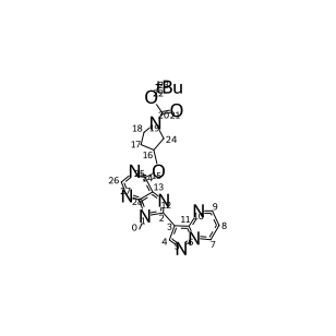 Cn1c(-c2cnn3cccnc23)nc2c(OC3CCN(C(=O)OC(C)(C)C)C3)ncnc21